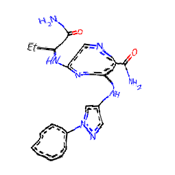 CCC(Nc1cnc(C(N)=O)c(Nc2cnn(-c3ccccc3)c2)n1)C(N)=O